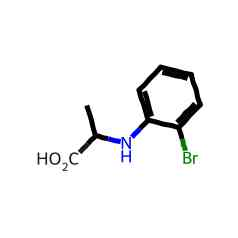 CC(Nc1ccccc1Br)C(=O)O